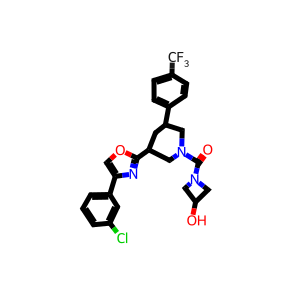 O=C(N1CC(O)C1)N1CC(c2ccc(C(F)(F)F)cc2)CC(c2nc(-c3cccc(Cl)c3)co2)C1